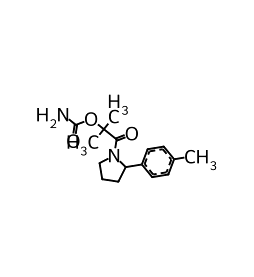 Cc1ccc(C2CCCN2C(=O)C(C)(C)OC(N)=O)cc1